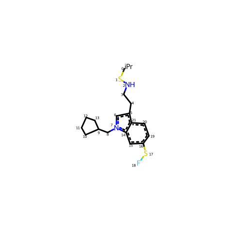 CC(C)SNCCc1cn(CC2CCCC2)c2cc(SF)ccc12